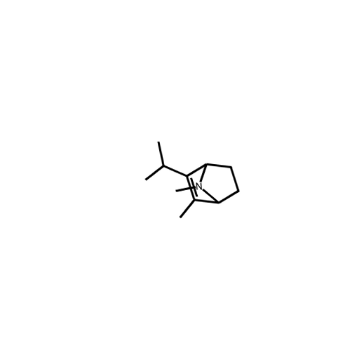 CC1=C(C(C)C)C2CCC1N2C